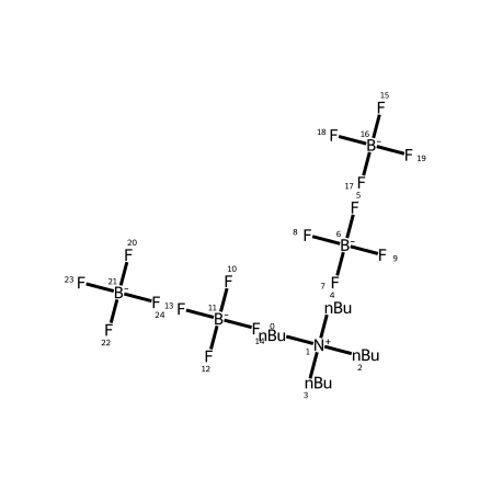 CCCC[N+](CCCC)(CCCC)CCCC.F[B-](F)(F)F.F[B-](F)(F)F.F[B-](F)(F)F.F[B-](F)(F)F